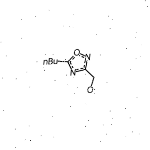 CCCCc1nc(C[O])no1